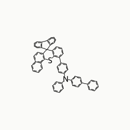 c1ccc(-c2ccc(N(c3ccccc3)c3ccc(-c4cccc5c4Sc4c(ccc6ccccc46)C54c5ccccc5-c5ccccc54)cc3)cc2)cc1